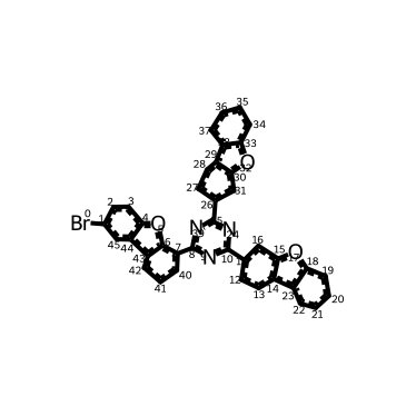 Brc1ccc2oc3c(-c4nc(-c5ccc6c(c5)oc5ccccc56)nc(-c5ccc6c(c5)oc5ccccc56)n4)cccc3c2c1